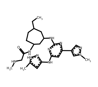 CCC1CCC(NC(=O)CNC)CC(Nc2nc(Nc3cc(C)[nH]n3)cc(-c3cnn(C)c3)n2)C1